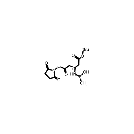 CB(O)N[C@@H](CC(=O)ON1C(=O)CCC1=O)CC(=O)OC(C)(C)C